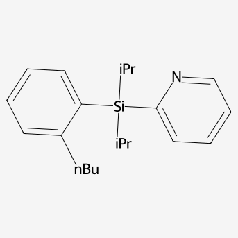 CCCCc1ccccc1[Si](c1ccccn1)(C(C)C)C(C)C